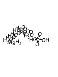 O.O.O.O.O.O.O.O.O.O.O=S(=O)(O)O.[MgH2]